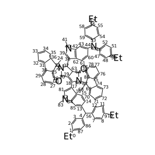 CCc1ccc(C(c2ccc(CC)cc2)c2ccc3c(C4=C5C(=O)N(C6(C)c7ccccc7-c7ccccc76)C(c6cn(C)c7cc(N(c8ccc(CC)cc8)c8ccc(CC)cc8)ccc67)C5C(=O)N4C4(C)c5ccccc5-c5ccccc54)cn(C)c3c2)cc1